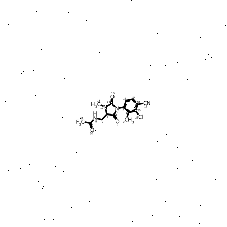 Cc1c(N2C(=O)C(CNC(=O)C(F)(F)F)N(C)C2=O)ccc(C#N)c1Cl